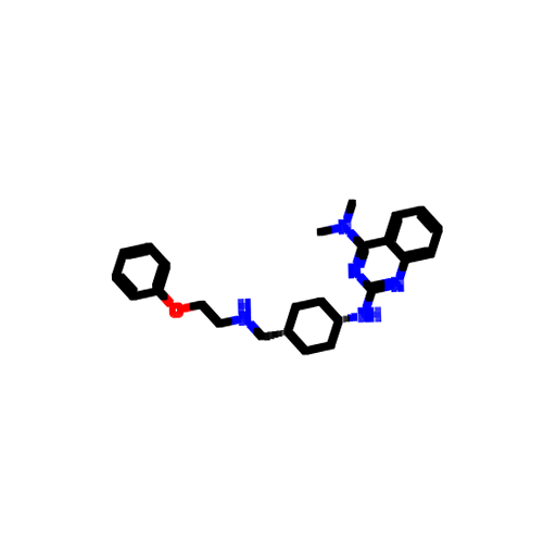 CN(C)c1nc(N[C@H]2CC[C@@H](CNCCOc3ccccc3)CC2)nc2ccccc12